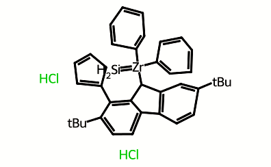 CC(C)(C)c1ccc2c(c1)[CH]([Zr](=[SiH2])([c]1ccccc1)[c]1ccccc1)c1c-2ccc(C(C)(C)C)c1C1=CC=CC1.Cl.Cl